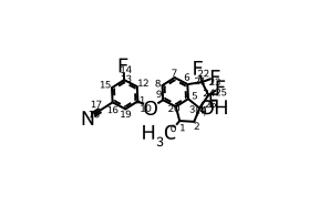 CC1C[C@@]2(O)c3c(ccc(Oc4cc(F)cc(C#N)c4)c31)C(F)(F)C2(F)F